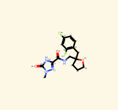 Cn1nc(C(=O)NCC2(Cc3ccc(F)cc3F)CCCO2)[nH]c1=O